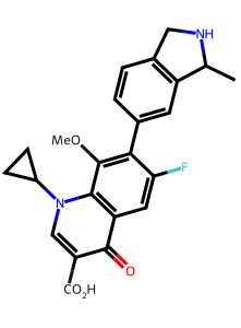 COc1c(-c2ccc3c(c2)C(C)NC3)c(F)cc2c(=O)c(C(=O)O)cn(C3CC3)c12